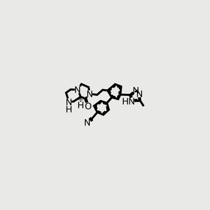 Cc1nnc(-c2ccc(CCN3CCN4CCNC[C@@H]4C3=O)c(-c3ccc(C#N)cc3)c2)[nH]1